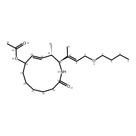 CCCCOC/C=C(\C)[C@H]1NC(=O)CCCCCC(OC(C)=O)/C=C/[C@@H]1C